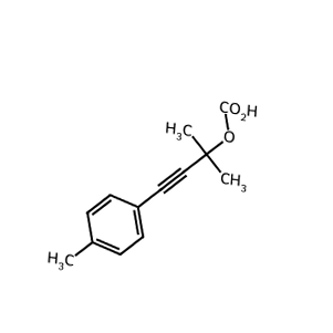 Cc1ccc(C#CC(C)(C)OC(=O)O)cc1